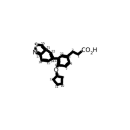 O=C(O)CCc1ccc(OC2CCCC2)c(-c2ccc3nscc3c2)c1